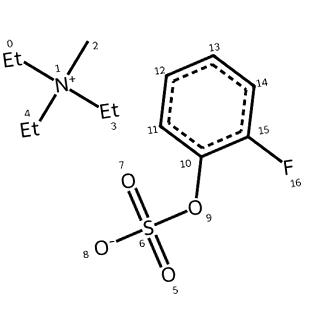 CC[N+](C)(CC)CC.O=S(=O)([O-])Oc1ccccc1F